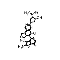 CC(C)N(C)[C@H]1CN(c2ncc3c4c(c(-c5ncc(F)c6sc(N)c(C#N)c56)c(Cl)c3n2)COC4)C[C@H]1O